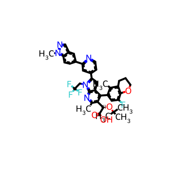 Cc1nc2c(cc(-c3ccnc(-c4ccc5c(cnn5C)c4)c3)n2CC(F)(F)F)c(-c2cc(F)c3c(c2C)CCCO3)c1[C@H](OC(C)(C)C)C(=O)O